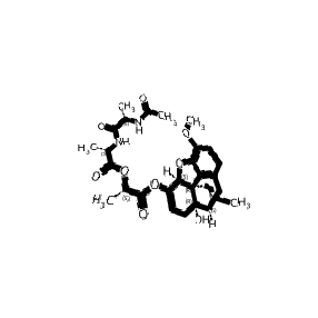 COc1ccc2c3c1O[C@@H]1C(OC(=O)[C@H](C)OC(=O)[C@H](C)NC(=O)[C@H](C)NC(C)=O)=CC[C@]4(O)[C@H](C2)N(C)CC[C@@]314